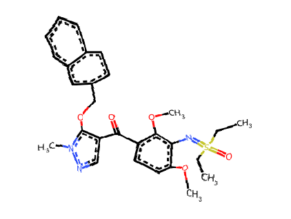 CCS(=O)(CC)=Nc1c(OC)ccc(C(=O)c2cnn(C)c2OCc2ccc3ccccc3c2)c1OC